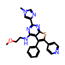 COCCNc1nc(-c2cn(C)cn2)nc2sc(-c3ccncc3)c(-c3ccccc3)c12